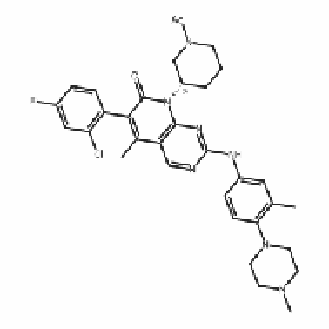 CC(=O)N1CCC[C@H](n2c(=O)c(-c3ccc(F)cc3Cl)c(C)c3cnc(Nc4ccc(N5CCN(C)CC5)c(C)c4)nc32)C1